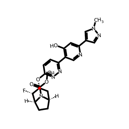 Cn1cc(-c2cc(O)c(-c3ccc(O[C@@H]4C[C@H]5CC[C@@H]([C@@H]4F)N5C(=O)OC(C)(C)C)nn3)cn2)cn1